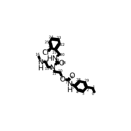 CCc1ccc(NC(=O)OCCN(CCNC)C(=O)NCc2ccccc2Cl)cc1